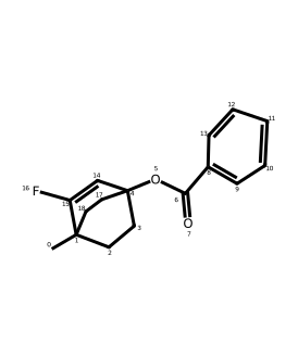 CC12CCC(OC(=O)c3ccccc3)(C=C1F)CC2